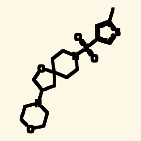 Cc1cc(S(=O)(=O)N2CCC3(CC2)CC(N2CCOCC2)CO3)cs1